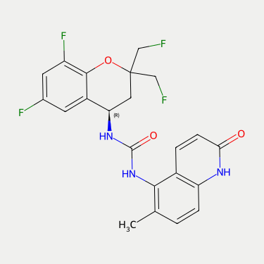 Cc1ccc2[nH]c(=O)ccc2c1NC(=O)N[C@@H]1CC(CF)(CF)Oc2c(F)cc(F)cc21